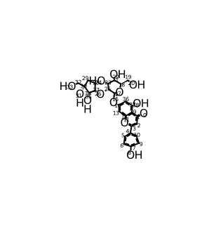 O=c1cc(-c2ccc(O)cc2)oc2cc(OC3O[C@H](CO)[C@@H](O)[C@H](O)[C@H]3O[C@@H]3CC[C@](O)(CO)[C@H]3O)cc(O)c12